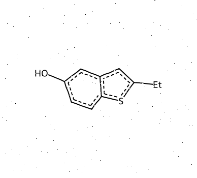 CCc1cc2cc(O)ccc2s1